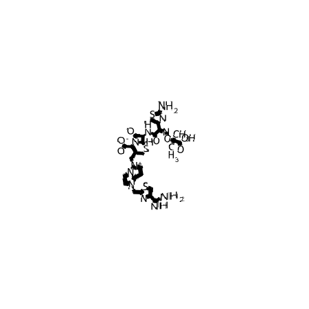 CC(C)(O/N=C(\C(=O)N[C@@H]1C(=O)N2C(C(=O)[O-])=C(C[n+]3ccc4n(Cc5nc(C(=N)N)cs5)ccn43)CS[C@H]12)c1csc(N)n1)C(=O)O